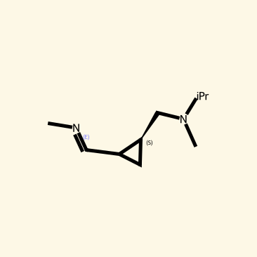 C/N=C/C1C[C@@H]1CN(C)C(C)C